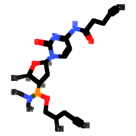 C#CCCC(=O)Nc1ccn([C@H]2C[C@@H](P(OCC(C#N)CC#C)N(C(C)C)C(C)C)[C@@H](CC)O2)c(=O)n1